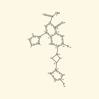 O=C(O)c1cn(-c2nccs2)c2nc(N3CC(n4cc(F)cn4)C3)c(F)cc2c1=O